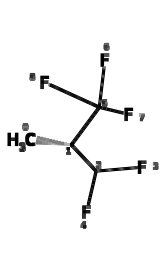 C[C@@H](C(F)F)C(F)(F)F